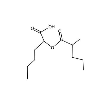 CCCCC(OC(=O)C(C)CCC)C(=O)O